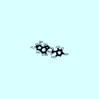 Cc1c(Cl)c(O)cc(O)c1C(=O)O[C@@H]1C[C@]2(C)C3[C@@H](O)C(C)(C)C[C@@]3(O)C=C(C=O)[C@]12O